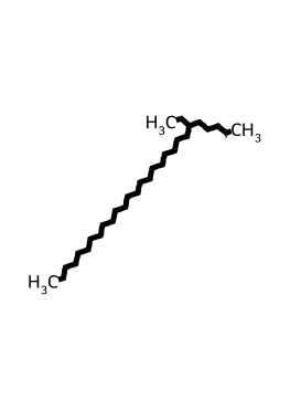 C[CH]CCCC(CC)CCCCCCCCCCCCCCCCCCCCCC